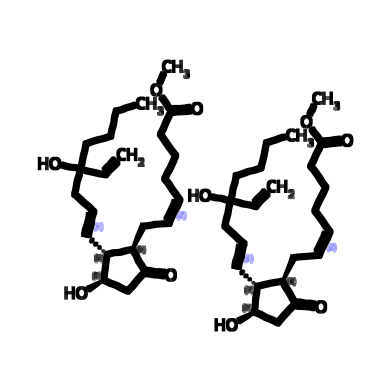 C=CC(O)(C/C=C/[C@H]1[C@H](O)CC(=O)[C@@H]1C/C=C\CCCC(=O)OC)CCCC.C=CC(O)(C/C=C/[C@H]1[C@H](O)CC(=O)[C@@H]1C/C=C\CCCC(=O)OC)CCCC